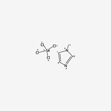 Cl[Se](Cl)(Cl)Cl.Cn1ccnc1